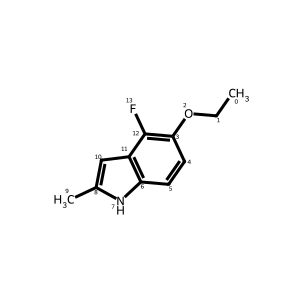 CCOc1ccc2[nH]c(C)cc2c1F